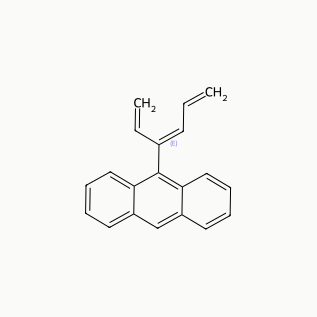 C=C/C=C(\C=C)c1c2ccccc2cc2ccccc12